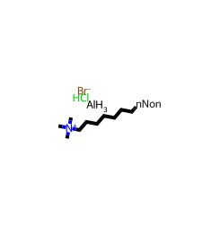 CCCCCCCCCCCCCCCC[N+](C)(C)C.Cl.[AlH3].[Br-]